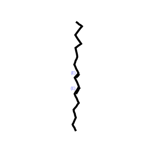 CCCCC/C=C/C=C/CCCCCCC